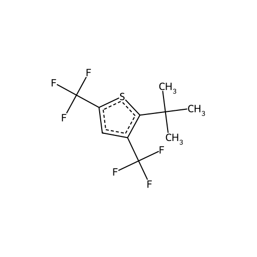 CC(C)(C)c1sc(C(F)(F)F)cc1C(F)(F)F